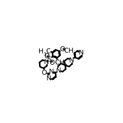 COc1cc(C)c(S(=O)(=O)N2CCCC(Oc3nccc(N4CCC5(CCN(c6ccncc6)CC5)CC4)n3)C2)c(C)c1